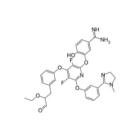 CCOC(C=O)Cc1cccc(Oc2c(F)c(Oc3cccc(C4=NCCN4C)c3)nc(Oc3cc(C(=N)N)ccc3O)c2F)c1